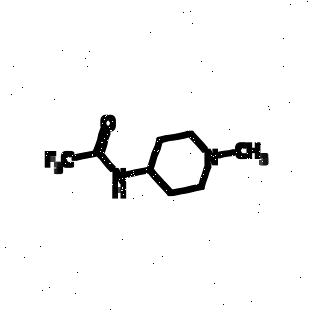 CN1CCC(NC(=O)C(F)(F)F)CC1